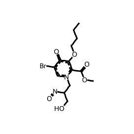 CCCCOc1c(C(=O)OC)n(CC(CO)N=O)cc(Br)c1=O